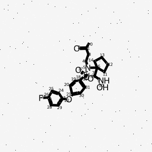 CC(=O)CCN(C1(C(=O)NO)CCCC1)S(=O)(=O)c1ccc(Oc2ccc(F)cc2)cc1